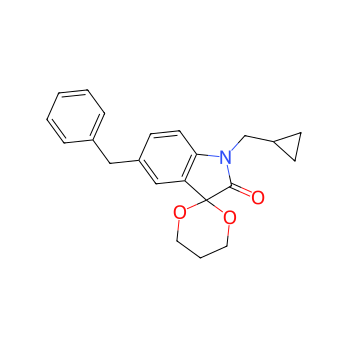 O=C1N(CC2CC2)c2ccc(Cc3ccccc3)cc2C12OCCCO2